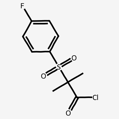 CC(C)(C(=O)Cl)S(=O)(=O)c1ccc(F)cc1